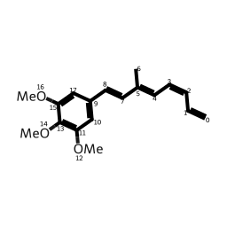 C=C\C=C/C=C(C)/C=C/c1cc(OC)c(OC)c(OC)c1